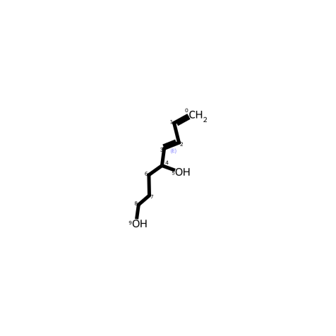 C=C/C=C/C(O)CCCO